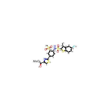 COC(=O)c1csc(-c2ccc(NS(=O)(=O)c3sc4ccc(F)cc4c3C)c(S(C)(=O)=O)c2)n1